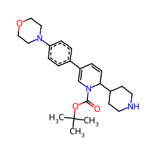 CC(C)(C)OC(=O)N1C=C(c2ccc(N3CCOCC3)cc2)C=CC1C1CCNCC1